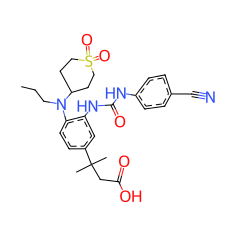 CCCN(c1ccc(C(C)(C)CC(=O)O)cc1NC(=O)Nc1ccc(C#N)cc1)C1CCS(=O)(=O)CC1